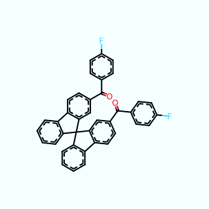 O=C(c1ccc(F)cc1)c1ccc2c(c1)C1(c3ccccc3-2)c2ccccc2-c2ccc(C(=O)c3ccc(F)cc3)cc21